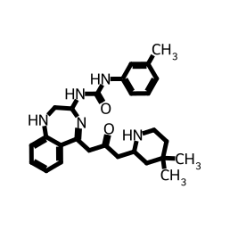 Cc1cccc(NC(=O)NC2CNc3ccccc3C(CC(=O)CC3CC(C)(C)CCN3)=N2)c1